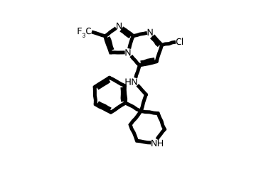 FC(F)(F)c1cn2c(NCC3(c4ccccc4)CCNCC3)cc(Cl)nc2n1